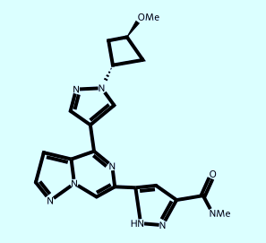 CNC(=O)c1cc(-c2cn3nccc3c(-c3cnn([C@H]4C[C@H](OC)C4)c3)n2)[nH]n1